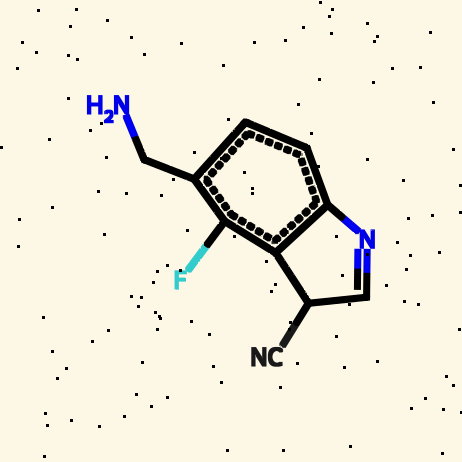 N#CC1C=Nc2ccc(CN)c(F)c21